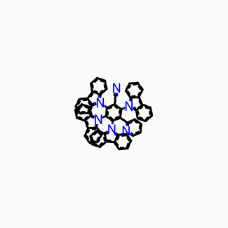 N#Cc1c(-n2c3ccccc3c3ccccc32)c(-c2ccccn2)c(-n2c3ccccc3c3ccccc32)c(-n2c3ccccc3c3ccccc32)c1-n1c2ccccc2c2ccccc21